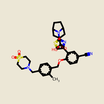 Cc1cc(CN2CCS(=O)(=O)CC2)ccc1COc1ccc(C#N)cc1-c1csc(N2C3CCC2CC(C(=O)O)C3)n1